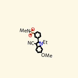 CCn1c(-c2cccc(S(=O)(=O)NC)c2)c(C#N)c2ccc(OC)cc21